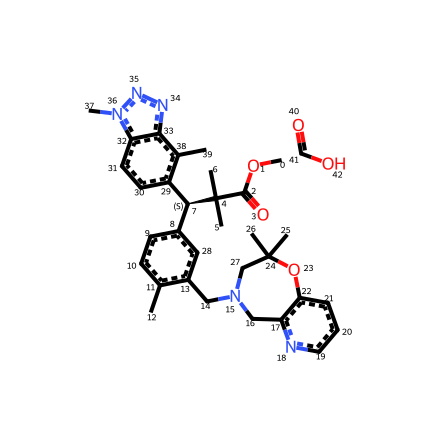 COC(=O)C(C)(C)[C@@H](c1ccc(C)c(CN2Cc3ncccc3OC(C)(C)C2)c1)c1ccc2c(nnn2C)c1C.O=CO